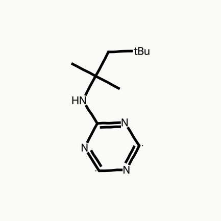 CC(C)(C)CC(C)(C)Nc1n[c]n[c]n1